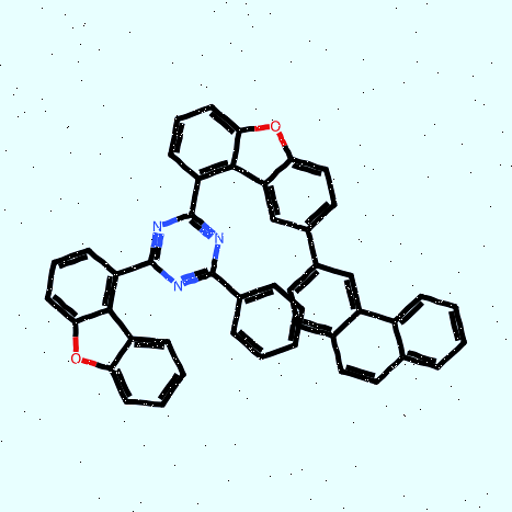 c1ccc(-c2nc(-c3cccc4oc5ccccc5c34)nc(-c3cccc4oc5ccc(-c6ccc7ccc8ccccc8c7c6)cc5c34)n2)cc1